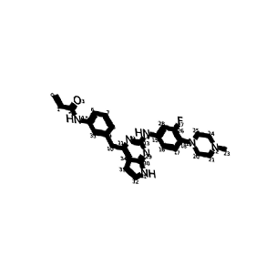 C=CC(=O)Nc1cccc(Cc2nc(Nc3ccc(N4CCN(C)CC4)c(F)c3)nc3[nH]ccc23)c1